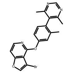 Cc1cc(Oc2nccc3occ(Br)c23)ccc1-c1c(C)ncnc1C